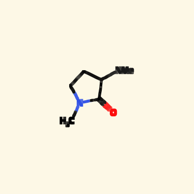 CNC1CCN(C)C1=O